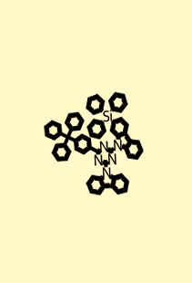 c1ccc(C(c2ccccc2)(c2ccccc2)c2ccc(-c3nc(-n4c5ccccc5c5ccccc54)nc(-n4c5ccccc5c5ccc([Si](c6ccccc6)(c6ccccc6)c6ccccc6)cc54)n3)cc2)cc1